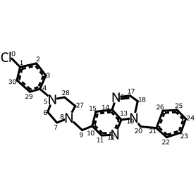 Clc1ccc(N2CCN(Cc3cnc4c(c3)N=CCN4Cc3ccccc3)CC2)cc1